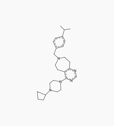 CC(C)c1ccc(CN2CCc3ncnc(N4CCN(C5CCC5)CC4)c3CC2)cc1